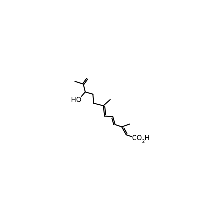 C=C(C)C(O)CC/C(C)=C/C=C/C(C)=C/C(=O)O